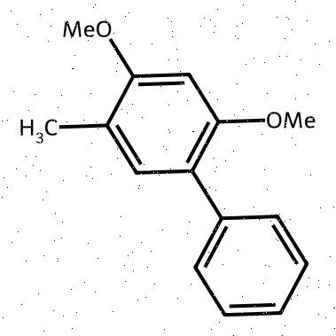 COc1cc(OC)c(-c2ccccc2)cc1C